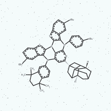 CC(C)(C)c1ccc(N2c3nc([C@]45CC6C7CC8C[C@@H]6C(C4)[C@@H](C8)C7C5)cc4c3B(c3sc5ccc(C(C)(C)C)cc5c3N4c3ccc4c(c3)C(C)(C)CCC4(C)C)c3sc4ccc(C(C)(C)C)cc4c32)cc1